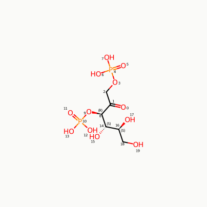 O=C(COP(=O)(O)O)[C@H](OP(=O)(O)O)[C@@H](O)[C@@H](O)CO